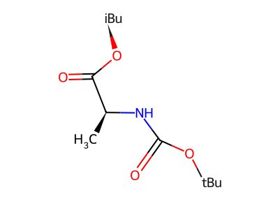 CC[C@H](C)OC(=O)[C@H](C)NC(=O)OC(C)(C)C